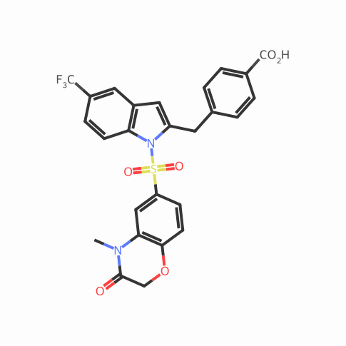 CN1C(=O)COc2ccc(S(=O)(=O)n3c(Cc4ccc(C(=O)O)cc4)cc4cc(C(F)(F)F)ccc43)cc21